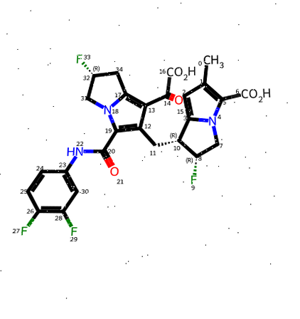 Cc1cc2n(c1C(=O)O)C[C@H](F)[C@@H]2Cc1c(C(=O)C(=O)O)c2n(c1C(=O)Nc1ccc(F)c(F)c1)C[C@H](F)C2